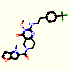 COn1c(NCCc2ccc(C(F)(F)F)cc2)nc2c(c1=O)CN(C(=O)c1cc3occc3n1C)CC2